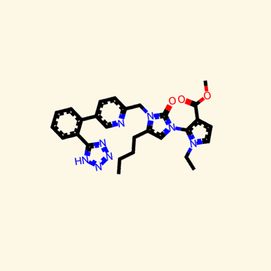 CCCCc1cn(-c2c(C(=O)OC)ccn2CC)c(=O)n1Cc1ccc(-c2ccccc2-c2nnn[nH]2)cn1